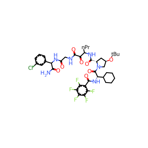 CCCC(NC(=O)[C@@H]1C[C@@H](OC(C)(C)C)CN1C(=O)[C@@H](NC(=O)c1c(F)c(F)c(F)c(F)c1F)C1CCCCC1)C(=O)C(=O)NCC(=O)NC(C(N)=O)c1cccc(Cl)c1